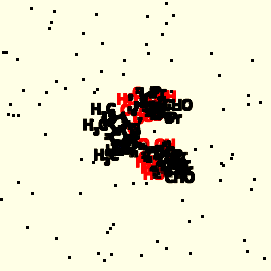 Cc1c(C)c(OC(=O)[C@@H](O)[C@](O)(C(=O)C(C)C)[C@@](O)(C(=O)C(C)C)[C@@](O)(C=O)C(=O)C(C)C)c2c3c1C[C@@H]1[C@@H]4C=C[C@H](OC(=O)[C@@H](O)[C@](O)(C(=O)C(C)C)[C@@](O)(C(=O)C(C)C)[C@@](O)(C=O)C(=O)C(C)C)[C@H](O2)[C@]34CCN1C